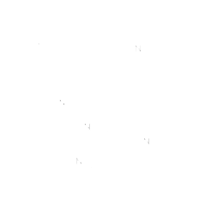 Nc1ccnc(C(c2cccc(Cl)c2)C(c2cccnc2)c2cccnc2)n1